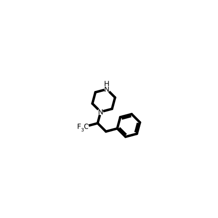 FC(F)(F)C(Cc1ccccc1)N1CCNCC1